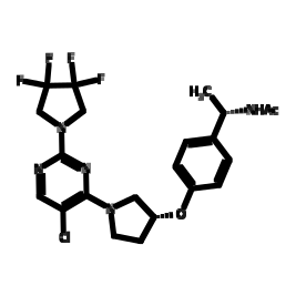 CC(=O)N[C@@H](C)c1ccc(O[C@@H]2CCN(c3nc(N4CC(F)(F)C(F)(F)C4)ncc3Cl)C2)cc1